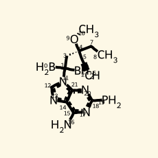 BC(B)(C[C@@](C#C)(CC)OC)n1cnc2c(N)nc(P)nc21